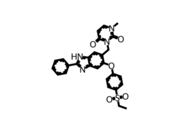 CCS(=O)(=O)c1ccc(Oc2cc3nc(-c4ccccc4)[nH]c3cc2Cn2c(=O)ccn(C)c2=O)cc1